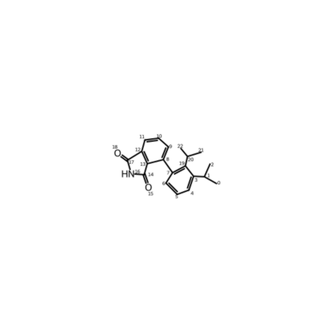 CC(C)c1cccc(-c2cccc3c2C(=O)NC3=O)c1C(C)C